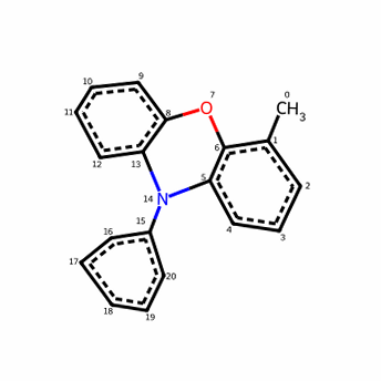 Cc1cccc2c1Oc1ccccc1N2c1ccccc1